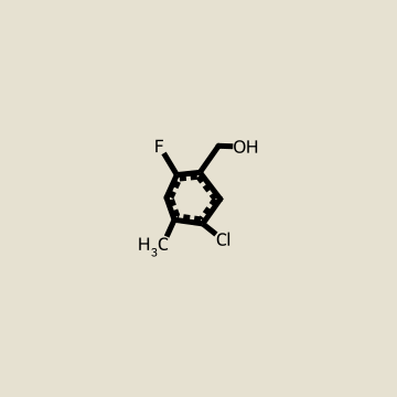 Cc1cc(F)c(CO)cc1Cl